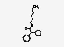 CCCCCCOC(=O)C(c1ccccc1)C1CCCC1